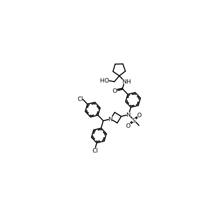 CS(=O)(=O)N(c1cccc(C(=O)NC2(CO)CCCC2)c1)C1CN(C(c2ccc(Cl)cc2)c2ccc(Cl)cc2)C1